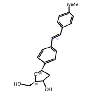 CNc1ccc(/C=C/c2ccc([C@H]3CC(O)[C@@H](CO)O3)cc2)cc1